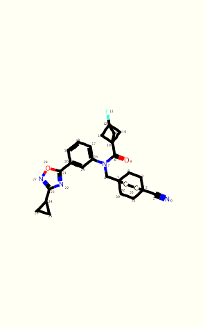 N#CC12CCC(CN(C(=O)C34CC(F)(C3)C4)c3cccc(-c4nc(C5CC5)no4)c3)(CC1)CC2